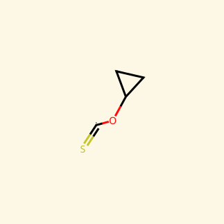 S=[C]OC1CC1